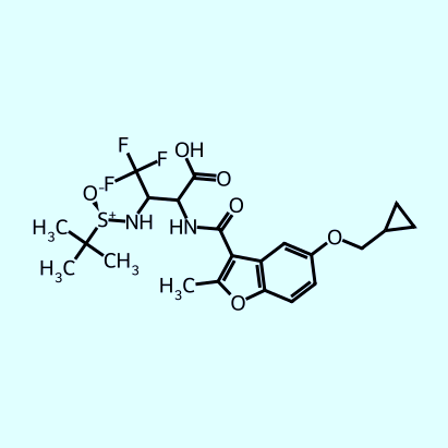 Cc1oc2ccc(OCC3CC3)cc2c1C(=O)NC(C(=O)O)C(N[S@+]([O-])C(C)(C)C)C(F)(F)F